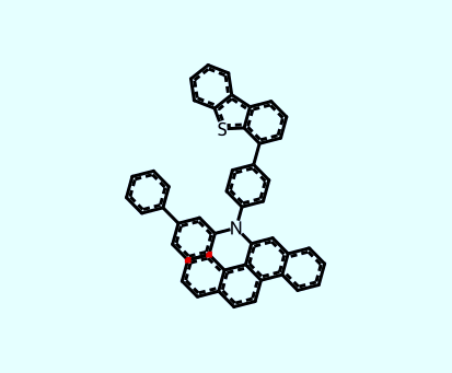 c1ccc(-c2cccc(N(c3ccc(-c4cccc5c4sc4ccccc45)cc3)c3cc4ccccc4c4ccc5ccccc5c34)c2)cc1